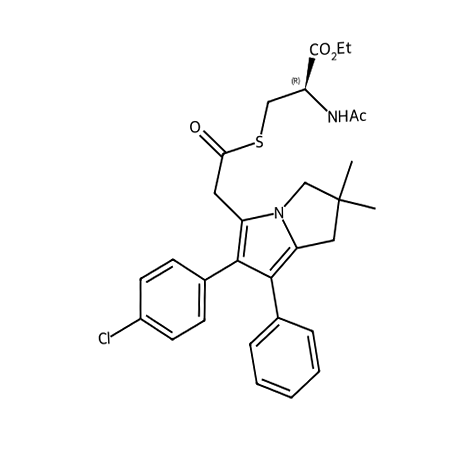 CCOC(=O)[C@H](CSC(=O)Cc1c(-c2ccc(Cl)cc2)c(-c2ccccc2)c2n1CC(C)(C)C2)NC(C)=O